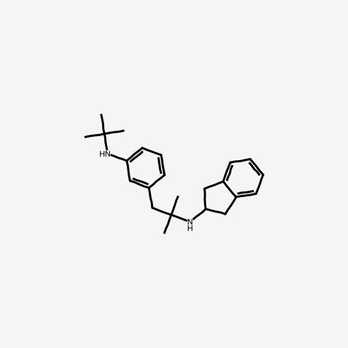 CC(C)(C)Nc1cccc(CC(C)(C)NC2Cc3ccccc3C2)c1